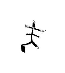 C=CC(=O)C(C)(C)P(=O)(O)O